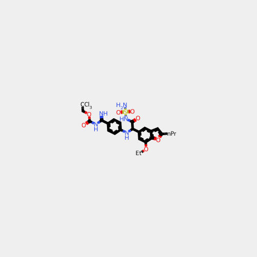 CCCc1cc2cc(C(Nc3ccc(C(=N)NC(=O)OCC(Cl)(Cl)Cl)cc3)C(=O)NS(N)(=O)=O)cc(OCC)c2o1